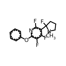 CN1CCCC1(F)c1c(F)nc(Oc2ccccc2)c(F)c1F